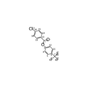 [O]C(Oc1ccc(C(F)(F)F)cc1)c1ccc(Cl)cc1